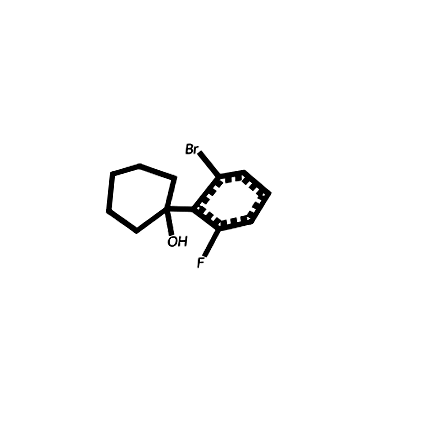 OC1(c2c(F)cccc2Br)CCCCC1